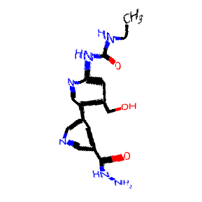 CCNC(=O)Nc1cc(CO)c(-c2cncc(C(=O)NN)c2)cn1